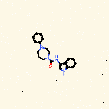 O=C(Nc1c[nH]c2ccccc12)N1CCCN(c2ccccc2)CC1